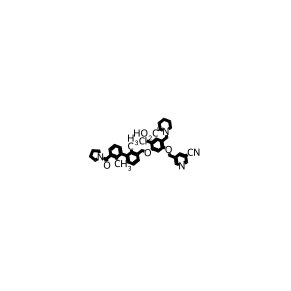 Cc1c(COc2cc(OCc3cncc(C#N)c3)c(CN3CCCC[C@H]3C(=O)O)cc2Cl)cccc1-c1cccc(C(=O)N2CCCC2)c1C